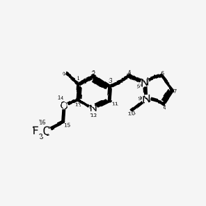 Cc1cc(CN2CC=CN2C)cnc1OCC(F)(F)F